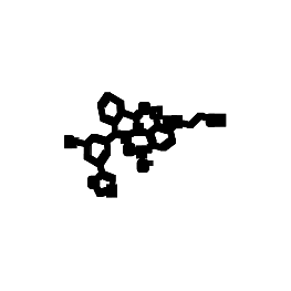 O=c1c2ccccc2c(-c2cc(Br)cc(-c3cnco3)c2)nn1-c1c([N+](=O)[O-])ccc(NCCO)c1Cl